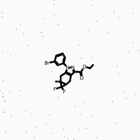 CCOC(=O)c1nn(-c2cccc(Br)c2)c2c1CC1C(F)(F)C1(C)C2